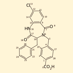 O=C(O)c1ccc(CN2C(=O)c3ccc(Cl)cc3NC(=O)C2Cc2ccccc2)cc1